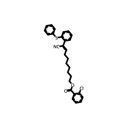 N#C/C(=C\CCCCCCCOC(=O)c1ccccc1Cl)c1ccccc1Sc1ccccc1